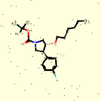 CCCCCCO[C@H]1CN(C(=O)OC(C)(C)C)C[C@@H]1c1ccc(F)cc1